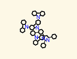 c1ccc(-c2cc(-c3ccc(-n4c5ccc(-n6c7ccccc7c7ccccc76)cc5c5cc(-n6c7ccccc7c7ccccc76)ccc54)c(-c4ccccc4-n4c5ccccc5c5ccccc54)c3)nc(-c3ccccc3)n2)cc1